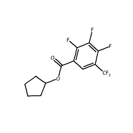 O=C(OC1CCCC1)c1cc(C(F)(F)F)c(F)c(F)c1F